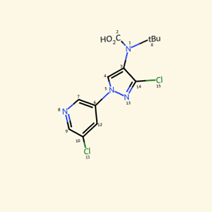 CC(C)(C)N(C(=O)O)c1cn(-c2cncc(Cl)c2)nc1Cl